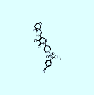 CN(c1ccc(C#N)cc1)S(=O)(=O)N1CCC(n2ncc(NC[C@@H]3COCCC3(F)F)c(Cl)c2=O)CC1